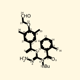 C=C(S/C(=N\N)N(CCCC)C(=O)c1ccccc1F)c1cc(C)c(OCC=O)c(C)c1